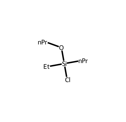 [CH2]CC[Si](Cl)(CC)OCCC